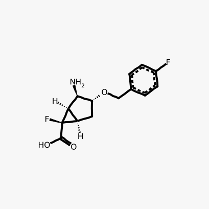 N[C@@H]1[C@H]2[C@@H](C[C@H]1OCc1ccc(F)cc1)[C@]2(F)C(=O)O